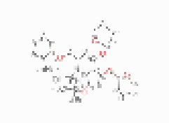 CCCCCCc1ccccc1OCC/C=C(/OC1CCCCO1)[C@H]1[C@@H](OC2CCCCO2)CC(O[Si](C)(C)C(C)(C)C)[C@H]1CC=O